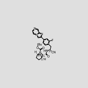 CC(C)(C)OC(=O)N1[C@@H]2CC[C@@H](C2)[C@H]1C(=O)N[C@H](C#N)Cc1ccc(-c2cn3ccncc3n2)cc1F